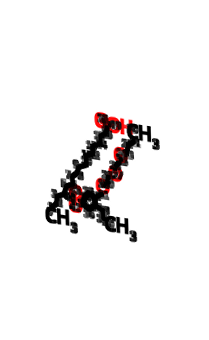 CCCCCCCCCCCCCCCCCC(=O)O.CCCCOCCOCCOCc1cc2c(cc1CCC)OCO2